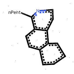 CCCCCc1nccc2c1ccc1ccccc12